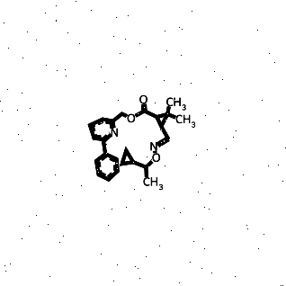 CC(ON=CC1C(C(=O)OCc2cccc(-c3ccccc3)n2)C1(C)C)C1CC1